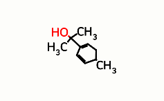 CC1C=CC(C(C)(C)O)=CC1